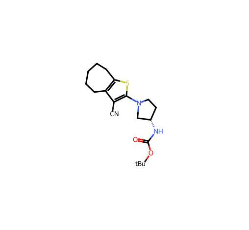 CC(C)(C)OC(=O)N[C@H]1CCN(c2sc3c(c2C#N)CCCCC3)C1